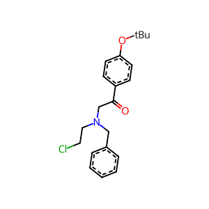 CC(C)(C)Oc1ccc(C(=O)CN(CCCl)Cc2ccccc2)cc1